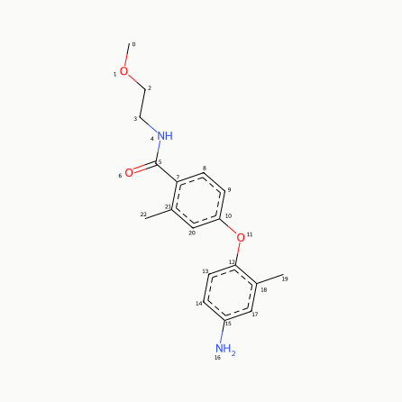 COCCNC(=O)c1ccc(Oc2ccc(N)cc2C)cc1C